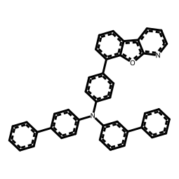 c1ccc(-c2ccc(N(c3ccc(-c4cccc5c4oc4ncccc45)cc3)c3cccc(-c4ccccc4)c3)cc2)cc1